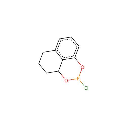 ClP1Oc2cccc3c2C(CCC3)O1